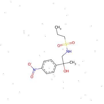 CCCS(=O)(=O)NCC(C)(O)c1ccc([N+](=O)[O-])cc1